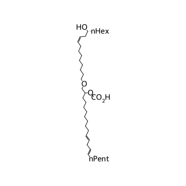 CCCCCC=CCC=CCCCCCCCCC(COCCCCCCCC/C=C\C[C@H](O)CCCCCC)OC(=O)O